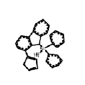 [Hf][Sn]([c]1ccccc1)([c]1ccccc1)[CH]1c2ccccc2-c2cccc(C3=CC=CC3)c21